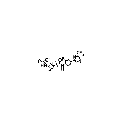 CC(C)(C(=O)Nc1ccc(-c2cncc(C(F)(F)F)n2)cc1F)c1csc(N[S+]([O-])C2CC2)n1